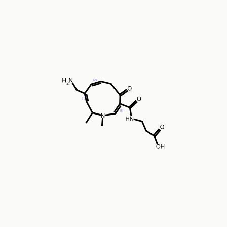 CC1/C=C(CN)\C=C/CC(=O)/C(C(=O)NCCC(=O)O)=C\N1C